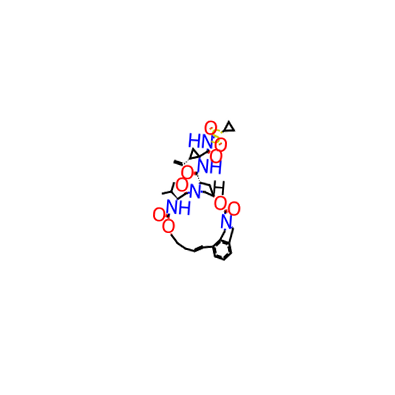 C=C[C@@H]1C[C@]1(NC(=O)[C@@H]1C[C@@H]2CN1C(=O)[C@H](C(C)C)NC(=O)OCCC/C=C/c1cccc3c1CN(C3)C(=O)O2)C(=O)NS(=O)(=O)C1CC1